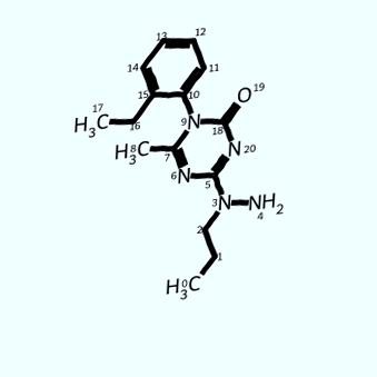 CCCN(N)c1nc(C)n(-c2ccccc2CC)c(=O)n1